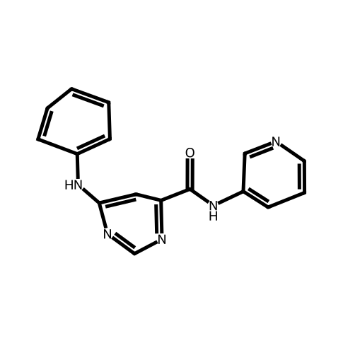 O=C(Nc1cccnc1)c1cc(Nc2ccccc2)ncn1